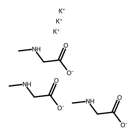 CNCC(=O)[O-].CNCC(=O)[O-].CNCC(=O)[O-].[K+].[K+].[K+]